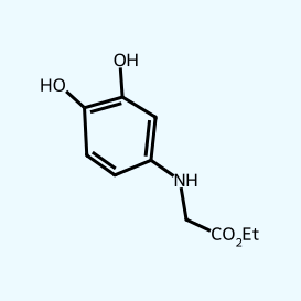 CCOC(=O)CNc1ccc(O)c(O)c1